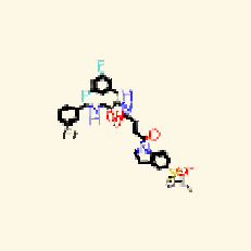 CCc1cccc(CNC[C@@H](O)[C@H](Cc2cc(F)cc(F)c2)NC(=O)CCC(=O)N2CCc3cc([S+](C)[O-])ccc32)c1